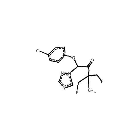 CC(CF)(CF)C(=O)C(Oc1ccc(Cl)cc1)n1cncn1